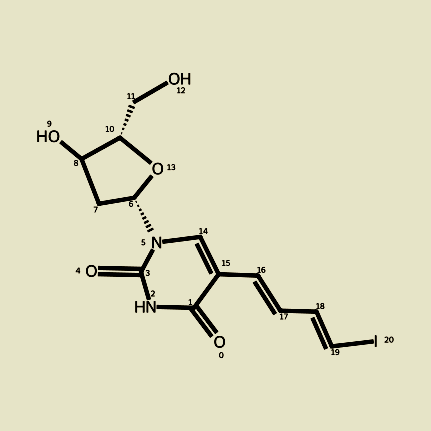 O=c1[nH]c(=O)n([C@@H]2CC(O)[C@H](CO)O2)cc1C=CC=CI